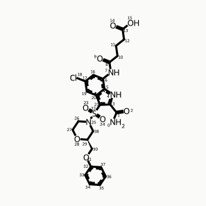 NC(=O)c1[nH]c2c(NC(=O)CCCC(=O)O)cc(Cl)cc2c1S(=O)(=O)N1CCO[C@H](COc2ccccc2)C1